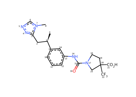 C[C@H](Cc1nncn1C)c1cccc(NC(=O)N2CCC(C(=O)O)(C(F)(F)F)C2)c1